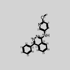 COc1ccc(Nc2nnc(-c3ccccc3)c3ccccc23)cn1